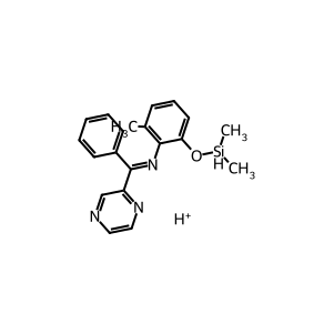 Cc1cccc(O[SiH](C)C)c1N=C(c1ccccc1)c1cnccn1.[H+]